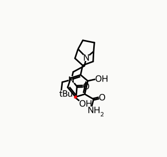 CC(C)(C)CN(CCN1C2CCC1CC(c1cccc(C(N)=O)c1O)C2)C(=O)CO